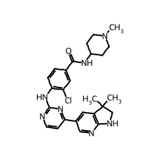 CN1CCC(NC(=O)c2ccc(Nc3nccc(-c4cnc5c(c4)C(C)(C)CN5)n3)c(Cl)c2)CC1